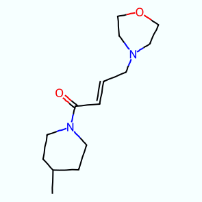 CC1CCN(C(=O)/C=C/CN2CCOCC2)CC1